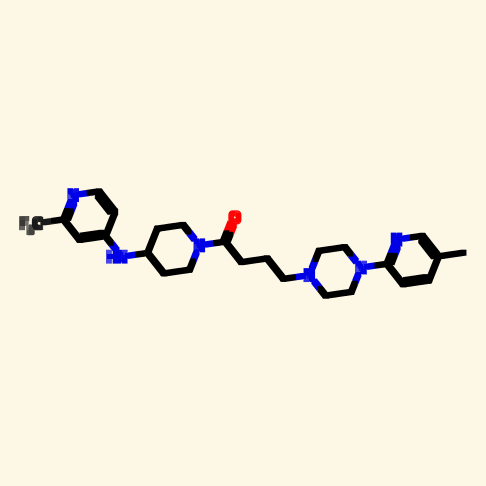 Cc1ccc(N2CCN(CCCC(=O)N3CCC(Nc4ccnc(C(F)(F)F)c4)CC3)CC2)nc1